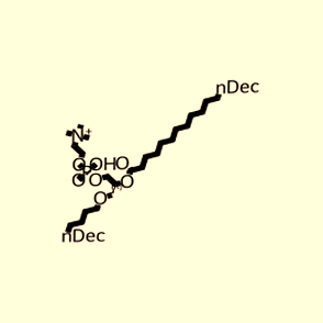 CCCCCCCCCCCCCCCCCCCCCC(=O)O[C@H](COCCCCCCCCCCCCCC)COP(=O)(O)OCC[N+](C)(C)C